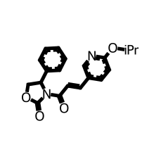 CC(C)Oc1ccc(/C=C/C(=O)N2C(=O)OCC2c2ccccc2)cn1